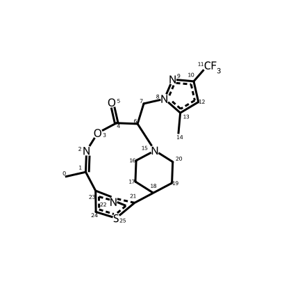 CC1=NOC(=O)C(Cn2nc(C(F)(F)F)cc2C)N2CCC(CC2)c2nc1cs2